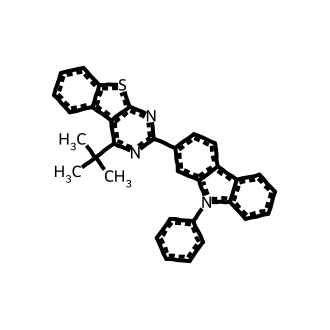 CC(C)(C)c1nc(-c2ccc3c4ccccc4n(-c4ccccc4)c3c2)nc2sc3ccccc3c12